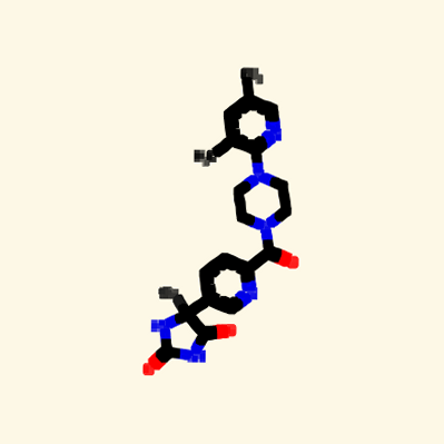 Cc1cnc(N2CCN(C(=O)c3ccc(C4(C(C)(C)C)NC(=O)NC4=O)cn3)CC2)c(C)c1